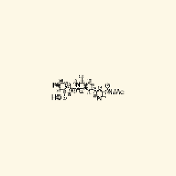 CNC(=O)c1cncc(-c2ccc([C@H](C)N3CCC(CCCO)(c4ccc(F)cc4)OC3=O)cc2)c1